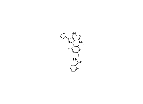 Cc1ccccc1C(=O)NCc1cc(F)c(-c2nn(C3CCCC3)c(N)c2C(N)=O)c(F)c1